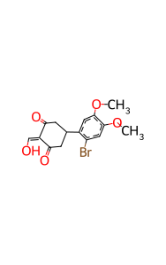 COc1cc(Br)c(C2CC(=O)C(=CO)C(=O)C2)cc1OC